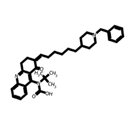 CC(C)(C)N(C(=O)O)c1c2c(nc3ccccc13)CCC(=CCCCCCC1CCN(Cc3ccccc3)CC1)C2=O